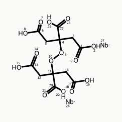 O=C(O)CC(CC(=O)O)(OOC(CC(=O)O)(CC(=O)O)C(=O)O)C(=O)O.[Nb].[Nb]